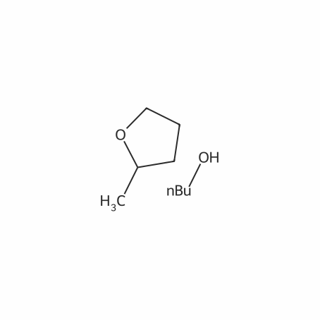 CC1CCCO1.CCCCO